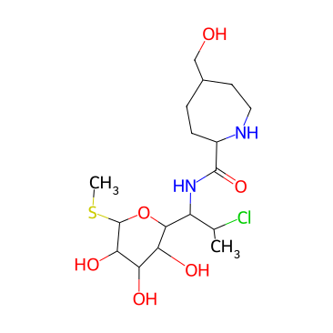 CSC1OC(C(NC(=O)C2CCC(CO)CCN2)C(C)Cl)C(O)C(O)C1O